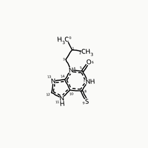 CC(C)Cn1c(=O)[nH]c(=S)c2[nH]cnc21